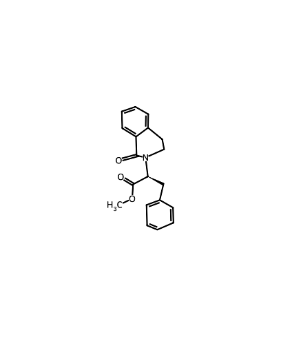 COC(=O)[C@H](Cc1ccccc1)N1CCc2ccccc2C1=O